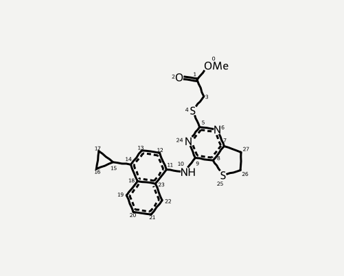 COC(=O)CSc1nc2c(c(Nc3ccc(C4CC4)c4ccccc34)n1)SCC2